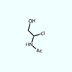 CC(=O)NC(Cl)CO